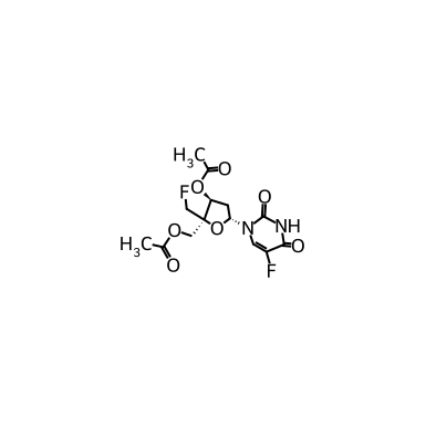 CC(=O)OC[C@@]1(CF)O[C@@H](n2cc(F)c(=O)[nH]c2=O)C[C@@H]1OC(C)=O